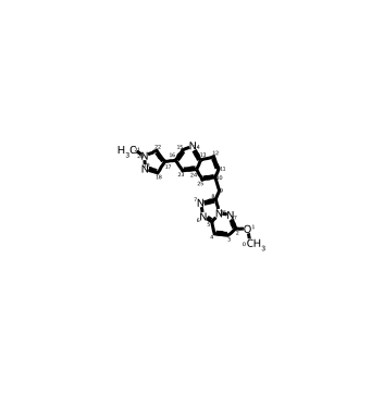 COc1ccc2nnc(Cc3ccc4ncc(-c5cnn(C)c5)cc4c3)n2n1